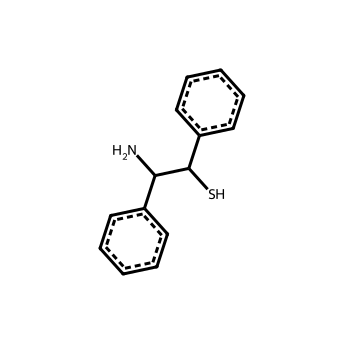 NC(c1ccccc1)C(S)c1ccccc1